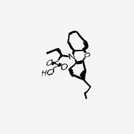 CCCc1ccc2c(c1)Oc1ccccc1N2C(CC)S(=O)(=O)O